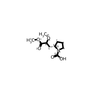 COC(=O)C(C[C@@H]1CCCN1C(=O)O)OC